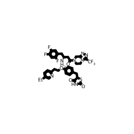 CCc1ccc(CCOc2ccc(CC3SC(=O)NC3=O)cc2)nc1.N[C@@H](CC(=O)N1CCn2c(nnc2C(F)(F)F)C1)Cc1cc(F)c(F)cc1F